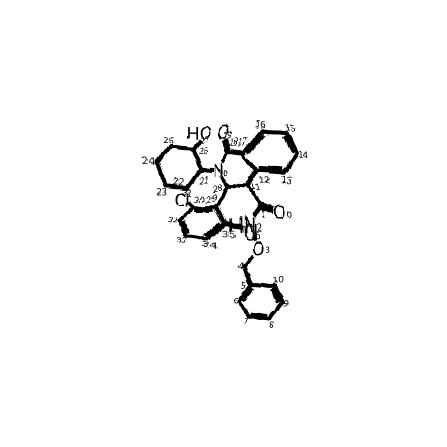 O=C(NOCc1ccccc1)C1c2ccccc2C(=O)N(C2CCCCC2O)C1c1c(Cl)cccc1Cl